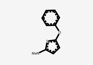 CNc1ccc(Oc2ccccc2)s1